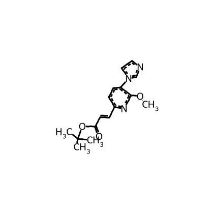 COc1nc(/C=C/C(=O)OC(C)(C)C)ccc1-n1ccnc1